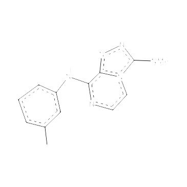 CNc1nnc2c(Nc3cccc(C)c3)nccn12